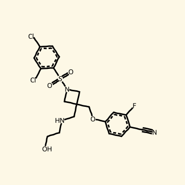 N#Cc1ccc(OCC2(CNCCO)CN(S(=O)(=O)c3ccc(Cl)cc3Cl)C2)cc1F